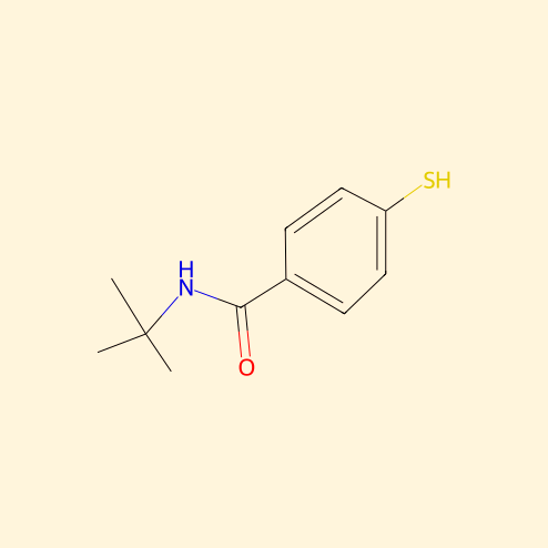 CC(C)(C)NC(=O)c1ccc(S)cc1